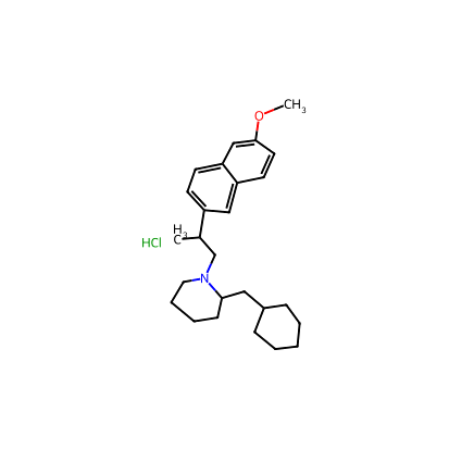 COc1ccc2cc(C(C)CN3CCCCC3CC3CCCCC3)ccc2c1.Cl